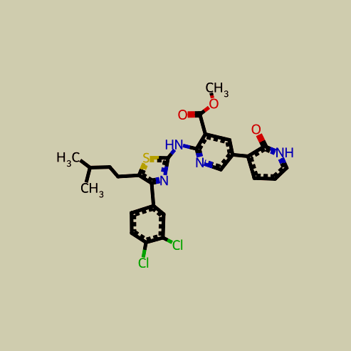 COC(=O)c1cc(-c2ccc[nH]c2=O)cnc1Nc1nc(-c2ccc(Cl)c(Cl)c2)c(CCC(C)C)s1